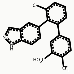 O=C(O)c1cc(-c2cccc(Cl)c2-c2ccc3[nH]ncc3c2)ccc1C(F)(F)F